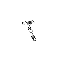 CCCN(CCC)CCCOc1ccc(C=Cc2nc3ccccc3s2)cc1